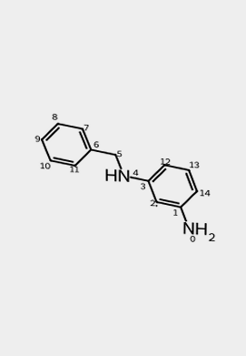 Nc1[c]c(NCc2ccccc2)ccc1